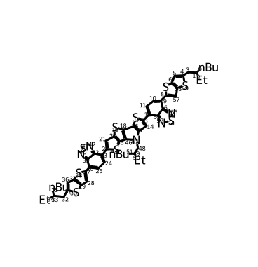 CCCCC(CC)Cc1cc2sc(-c3ccc(-c4cc5c(s4)c4sc6cc(-c7ccc(-c8cc9sc(CC(CC)CCCC)cc9s8)c8nsnc78)sc6c4n5CC(CC)CCCC)c4nsnc34)cc2s1